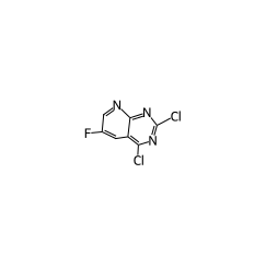 Fc1cnc2nc(Cl)nc(Cl)c2c1